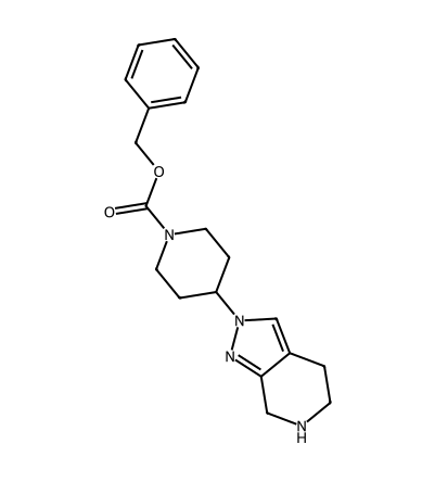 O=C(OCc1ccccc1)N1CCC(n2cc3c(n2)CNCC3)CC1